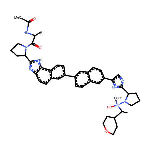 COC(=O)NC(C(=O)N1CCCC1c1nc2ccc3cc(-c4ccc5cc(-c6cnc(C7CCCN7[N+](O)(C(=O)[O-])C(C)C7CCOCC7)[nH]6)ccc5c4)ccc3c2[nH]1)C(C)C